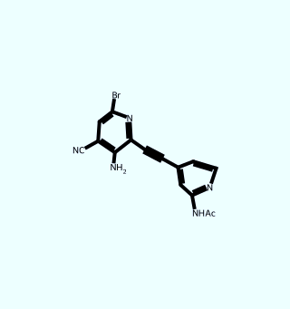 CC(=O)Nc1cc(C#Cc2nc(Br)cc(C#N)c2N)ccn1